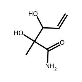 C=CC(O)C(C)(O)C(N)=O